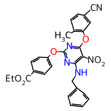 CCOC(=O)c1ccc(Oc2nc(NCc3ccccc3)c([N+](=O)[O-])c(Oc3cc(C#N)ccc3C)n2)cc1